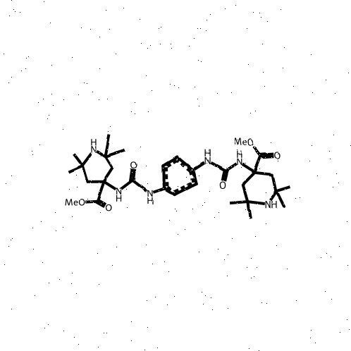 COC(=O)C1(NC(=O)Nc2ccc(NC(=O)NC3(C(=O)OC)CC(C)(C)NC(C)(C)C3)cc2)CC(C)(C)NC(C)(C)C1